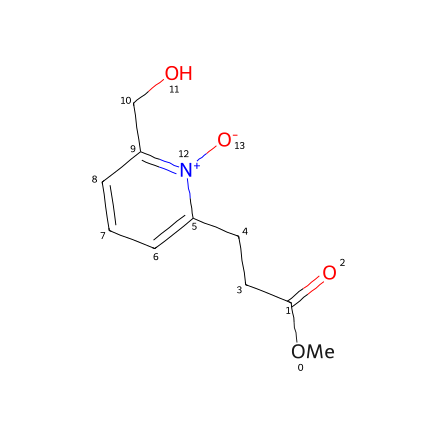 COC(=O)CCc1cccc(CO)[n+]1[O-]